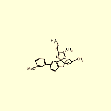 COc1cccc(-c2ccc3c(c2)C2(N=C(N=NN)N(C)O2)C2(CCC(C)CC2)C3)c1